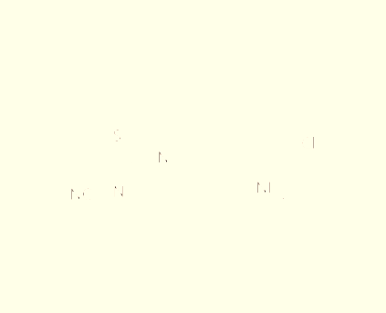 C=C(Cl)/C=C\C(=C/N)CN1CCSC1=NC#N